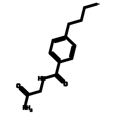 [CH2]CCCc1ccc(C(=O)NCC(N)=O)cc1